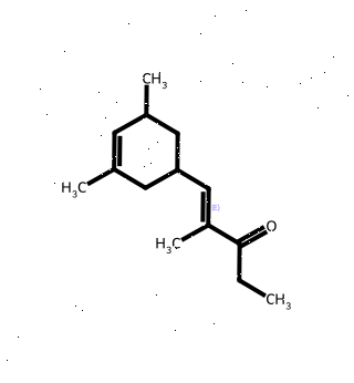 CCC(=O)/C(C)=C/C1CC(C)=CC(C)C1